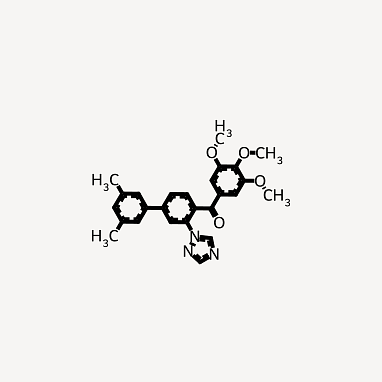 COc1cc(C(=O)c2ccc(-c3cc(C)cc(C)c3)cc2-n2cncn2)cc(OC)c1OC